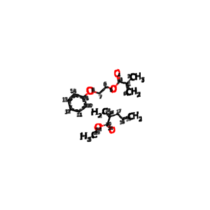 C=C(C)C(=O)OCCOc1ccccc1.C=CCC(=C)C(=O)OC